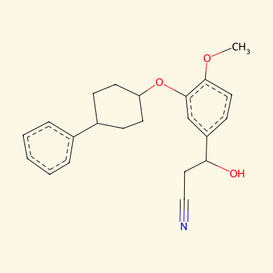 COc1ccc(C(O)CC#N)cc1OC1CCC(c2ccccc2)CC1